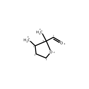 CC1CCOC1(C)C=O